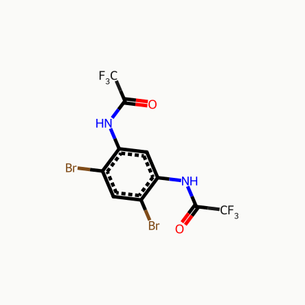 O=C(Nc1cc(NC(=O)C(F)(F)F)c(Br)cc1Br)C(F)(F)F